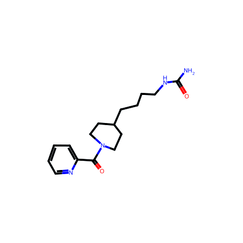 NC(=O)NCCCCC1CCN(C(=O)c2ccccn2)CC1